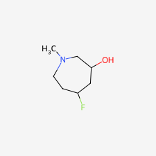 CN1CCC(F)CC(O)C1